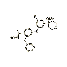 COC1(c2cc(F)cc(Sc3ccc(/C(C)=N/O)c(Cc4cccnc4)c3)c2)CCOCC1